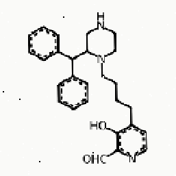 O=Cc1nccc(CCCCN2CCNCC2C(c2ccccc2)c2ccccc2)c1O